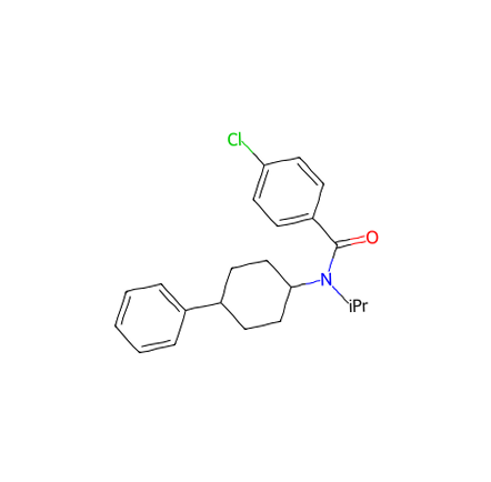 CC(C)N(C(=O)c1ccc(Cl)cc1)C1CCC(c2ccccc2)CC1